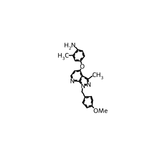 COc1ccc(Cn2nc(C)c3c(Oc4ccc(N)c(C)c4)ccnc32)cc1